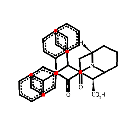 O=C(O)[C@@H]1C2CCC[C@@H](CN1C(=O)N(c1ccccc1)c1ccccc1)N2C(=O)C(c1ccccc1)c1ccccc1